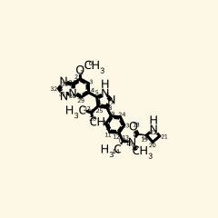 COc1cc(-c2[nH]nc(-c3ccc([C@H](C)N(C)C(=O)[C@@H]4CCN4)cc3)c2C(C)C)cn2ncnc12